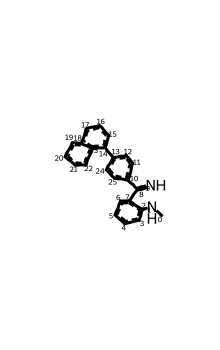 CNc1ccccc1C(=N)c1ccc(-c2cccc3ccccc23)cc1